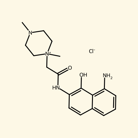 CN1CC[N+](C)(CC(=O)Nc2ccc3cccc(N)c3c2O)CC1.[Cl-]